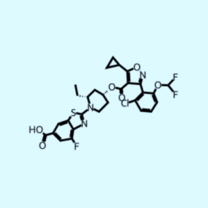 CC[C@@H]1C[C@H](OC(=O)c2c(-c3c(Cl)cccc3OC(F)F)noc2C2CC2)CCN1c1nc2c(F)cc(C(=O)O)cc2s1